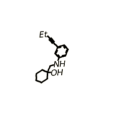 CCC#Cc1cccc(NCC2(O)CCCCC2)c1